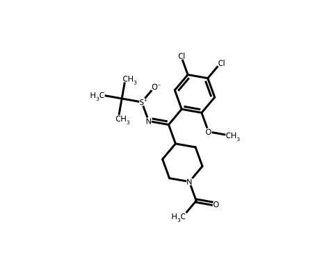 COc1cc(Cl)c(Cl)cc1/C(=N\[S+]([O-])C(C)(C)C)C1CCN(C(C)=O)CC1